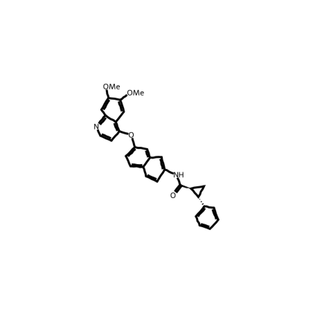 COc1cc2nccc(Oc3ccc4ccc(NC(=O)[C@H]5C[C@@H]5c5ccccc5)cc4c3)c2cc1OC